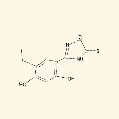 CCc1cc(-c2n[nH]c(=S)[nH]2)c(O)cc1O